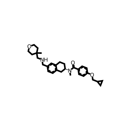 CN(C(=O)c1ccc(OCC2CC2)cc1)[C@H]1CCc2cc(CNCC3(C)CCOCC3)ccc2C1